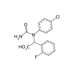 NC(=O)N(c1ccc(Cl)cc1)C(C(=O)O)c1ccccc1F